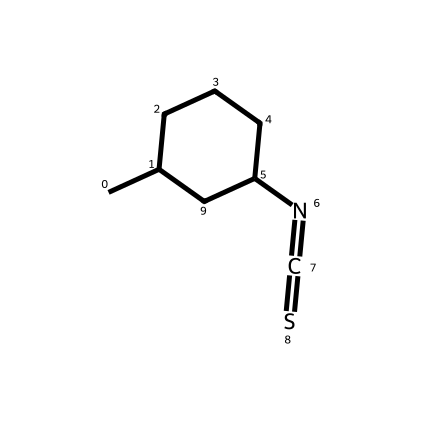 CC1CCCC(N=C=S)C1